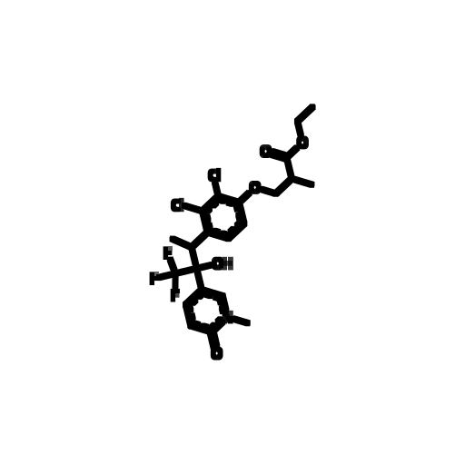 CCOC(=O)C(C)COc1ccc(C(C)C(O)(c2ccc(=O)n(C)c2)C(F)(F)F)c(Cl)c1Cl